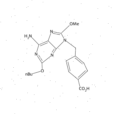 CCCCOc1nc(N)c2nc(OC)n(Cc3ccc(C(=O)O)cc3)c2n1